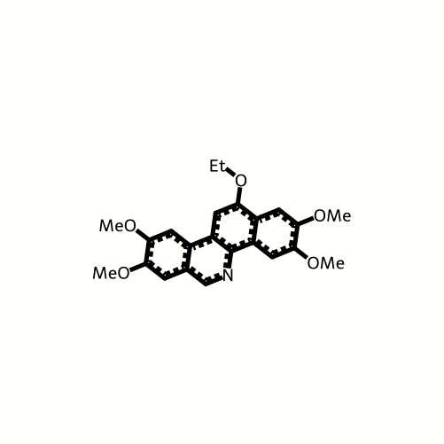 CCOc1cc2c3cc(OC)c(OC)cc3cnc2c2cc(OC)c(OC)cc12